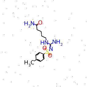 Cc1ccc(S(=O)(=O)N=C(N)NCCCCC(N)=O)cc1